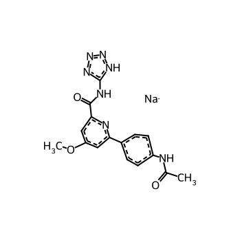 COc1cc(C(=O)Nc2nnn[nH]2)nc(-c2ccc(NC(C)=O)cc2)c1.[Na]